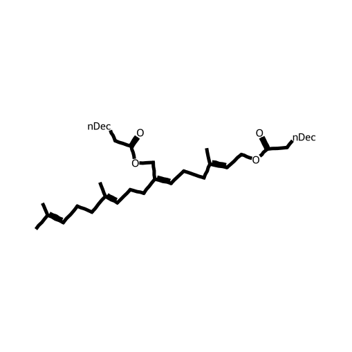 CCCCCCCCCCCC(=O)OC/C=C(\C)CC/C=C(/CC/C=C(\C)CCC=C(C)C)COC(=O)CCCCCCCCCCC